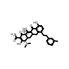 Cc1cccc(CCc2ccc(O)c3c2CC2CC4[C@H](N(C)C)C(O)=C(C(N)=O)C(=O)[C@@]4(O)C(O)=C2C3=O)c1